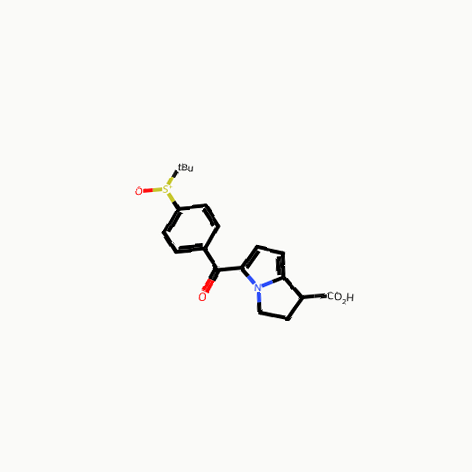 CC(C)(C)[S+]([O-])c1ccc(C(=O)c2ccc3n2CCC3C(=O)O)cc1